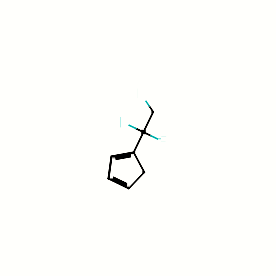 FCC(F)(F)C1=CC=CC1